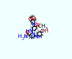 COc1ccc(Nc2nc(N[C@H]3CC[C@H](O)CC3)cnc2C(N)=O)cc1N1CCC2(CC1)OCCO2